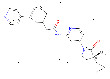 C[C@@]1(C2CC2)CCN(c2ccnc(NC(=O)Cc3cccc(-c4ccncc4)c3)c2)C1=O